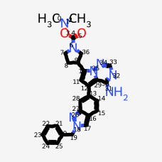 CN(C)OC(=O)N1CCC(c2cc(-c3ccc4cn(Cc5ccccc5)nc4c3)c3c(N)ncnn23)C1